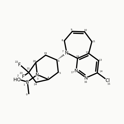 CB(O)N1C2C[C@@H](N3CC=CCc4cc(Cl)nnc43)CC1C(F)(F)C2